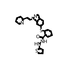 O=C(NNc1cccs1)c1ccccc1Sc1ccc2cnn(C=Cc3ccccn3)c2c1